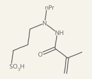 C=C(C)C(=O)NN(CCC)CCCS(=O)(=O)O